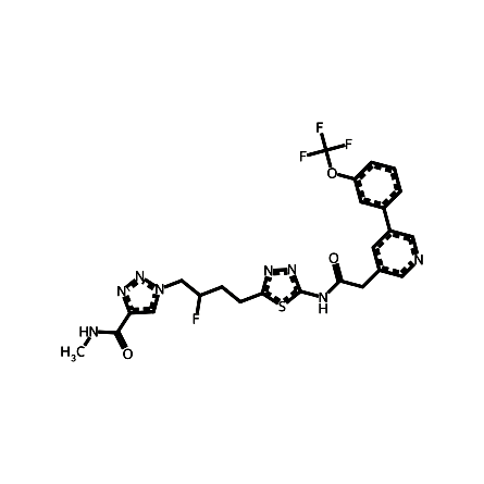 CNC(=O)c1cn(CC(F)CCc2nnc(NC(=O)Cc3cncc(-c4cccc(OC(F)(F)F)c4)c3)s2)nn1